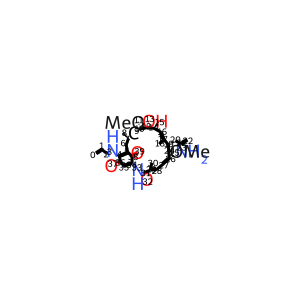 C=CCNC1=C2C[C@@H](C)C[C@H](OC)[C@H](O)[C@@H](C)/C=C(\C)[C@H](CC(=C)N)[C@@H](OC)/C=C\C=C(/C)C(=O)NC(=CC1=O)C2=O